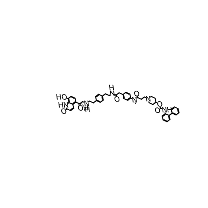 CN(C(=O)CCN1CCC(OC(=O)Nc2ccccc2-c2ccccc2)CC1)c1ccc(CC(=O)NCCc2ccc(CCNC[C@H](O)c3ccc(O)c4[nH]c(=O)ccc34)cc2)cc1